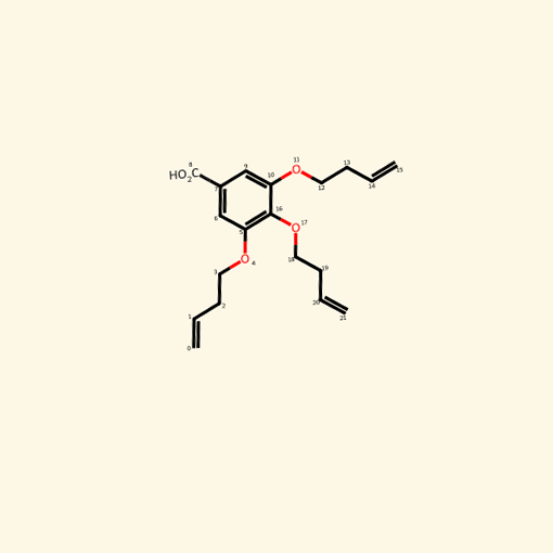 C=CCCOc1cc(C(=O)O)cc(OCCC=C)c1OCCC=C